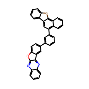 c1cc(-c2ccc3oc4nc5ccccc5nc4c3c2)cc(-c2cc3c4ccccc4sc3c3ccccc23)c1